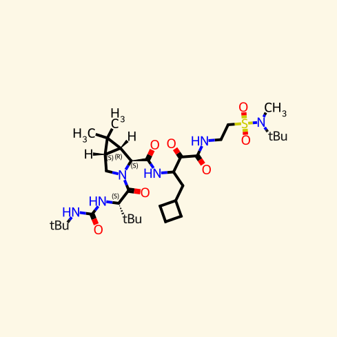 CN(C(C)(C)C)S(=O)(=O)CCNC(=O)C(=O)C(CC1CCC1)NC(=O)[C@@H]1[C@@H]2[C@H](CN1C(=O)[C@@H](NC(=O)NC(C)(C)C)C(C)(C)C)C2(C)C